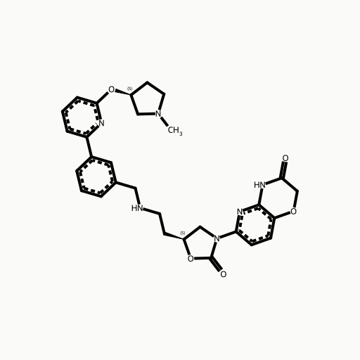 CN1CC[C@H](Oc2cccc(-c3cccc(CNCC[C@H]4CN(c5ccc6c(n5)NC(=O)CO6)C(=O)O4)c3)n2)C1